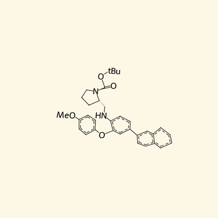 COc1ccc(Oc2cc(-c3ccc4ccccc4c3)ccc2NC[C@@H]2CCCN2C(=O)OC(C)(C)C)cc1